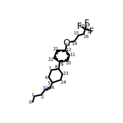 CCC/C=C/C1CCC(c2ccc(OCCCC(F)(F)F)cc2)CC1